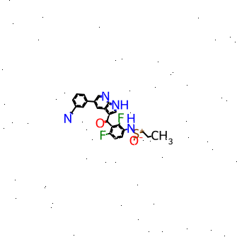 CCC[S+]([O-])Nc1ccc(F)c(C(=O)c2c[nH]c3ncc(-c4cccc(C#N)c4)cc23)c1F